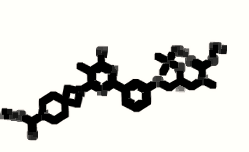 COC(=O)N1CCC2(CC1)CN(c1nc(-c3cccc(OC[C@H](CN(C)C(=O)OC(C)(C)C)O[Si](C)(C)C(C)(C)C)c3)nc(Cl)c1C)C2